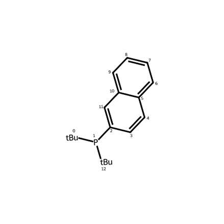 CC(C)(C)P(c1ccc2ccccc2c1)C(C)(C)C